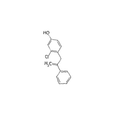 C=C(Cc1ccc(O)cc1Cl)c1ccccc1